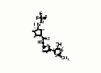 Cc1nc(C)c(-c2csc(NC(=O)C3CCC(NCC(F)(F)F)C3)n2)s1